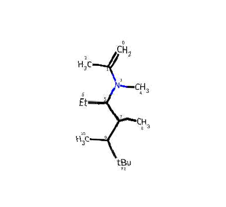 C=C(C)N(C)C(CC)C(C)C(C)C(C)(C)C